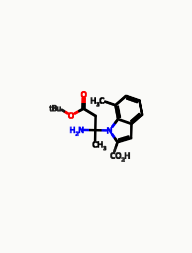 Cc1cccc2cc(C(=O)O)n(C(C)(N)CC(=O)OC(C)(C)C)c12